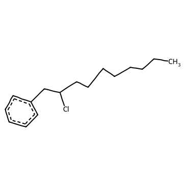 CCCCCCCCC(Cl)Cc1ccccc1